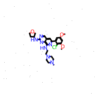 COc1cc(OC)c(Cl)c(-c2cc3cnc(NC4CCOC4)nc3c(NCCN3CCN(C)CC3)n2)c1